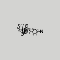 N#Cc1ccc(/C=N/NC(=O)c2ccccc2[N+](=O)[O-])cc1